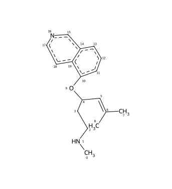 CNCCC(C=C(C)C)Oc1cccc2cnccc12